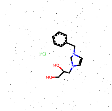 Cl.OCC(O)CN1C=CN(Cc2ccccc2)C1